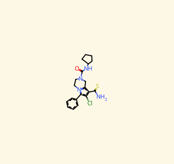 NC(=S)c1c(Cl)c(-c2ccccc2)n2c1CN(C(=O)NC1CCCC1)CC2